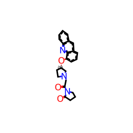 O=C1CCCN1C(=O)CN1CC[C@H](Oc2cccc3cc4ccccc4nc23)C1